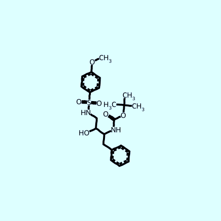 COc1ccc(S(=O)(=O)NCC(O)C(Cc2ccccc2)NC(=O)OC(C)(C)C)cc1